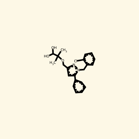 CC(C)(OCc1cc(-c2ccccc2)n(Cc2ccccc2Cl)n1)C(O)O